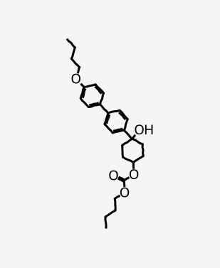 CCCCOC(=O)OC1CCC(O)(c2ccc(-c3ccc(OCCCC)cc3)cc2)CC1